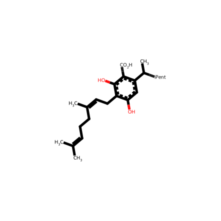 CCCC(C)C(C)c1cc(O)c(CC=C(C)CCC=C(C)C)c(O)c1C(=O)O